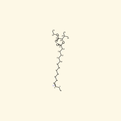 CC/C=C\CCCCCCCCCCCC(=O)OC(C(=O)OCC)C(C)C